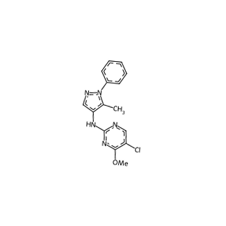 COc1nc(Nc2cnn(-c3ccccc3)c2C)ncc1Cl